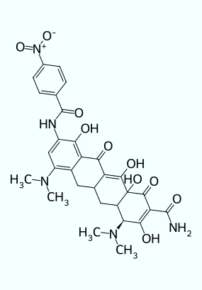 CN(C)c1cc(NC(=O)c2ccc([N+](=O)[O-])cc2)c(O)c2c1CC1CC3[C@H](N(C)C)C(O)=C(C(N)=O)C(=O)C3(O)C(O)=C1C2=O